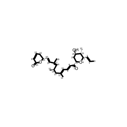 C/C=C/[C@@H]1O[C@H](C(=O)/C=C/C=C(\C)C[C@@H](C)/C=C(C)\C=C\[C@H]2CC=CC(=O)O2)C[C@@H](O)[C@@H]1C